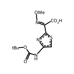 CON=C(C(=O)O)c1nc(NC(=O)OC(C)(C)C)cs1